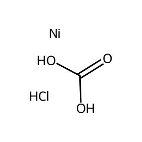 Cl.O=C(O)O.[Ni]